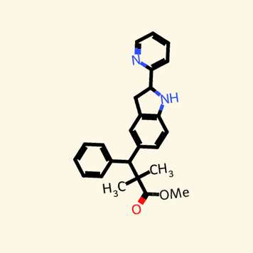 COC(=O)C(C)(C)C(c1ccccc1)c1ccc2c(c1)CC(c1ccccn1)N2